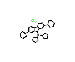 C1=CC[C]([Zr+2](=[C]2CCCC2)[CH]2c3cc(-c4ccccc4)ccc3-c3ccc(-c4ccccc4)cc32)=C1.[Cl-].[Cl-]